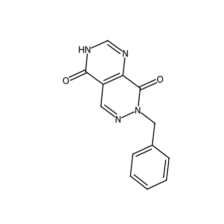 O=c1[nH]cnc2c(=O)n(Cc3ccccc3)ncc12